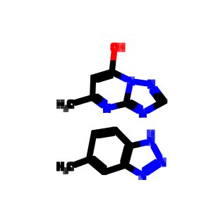 Cc1cc(O)n2ncnc2n1.Cc1ccc2[nH]nnc2c1